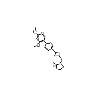 COc1ncc(-c2ccc(C3CC(CN4CCC[C@H]4C)C3)cc2)c(OC)n1